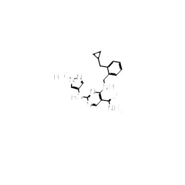 Cn1cc(Nc2ncc(C(N)=O)c(NCc3ccccc3CC3CC3)n2)cn1